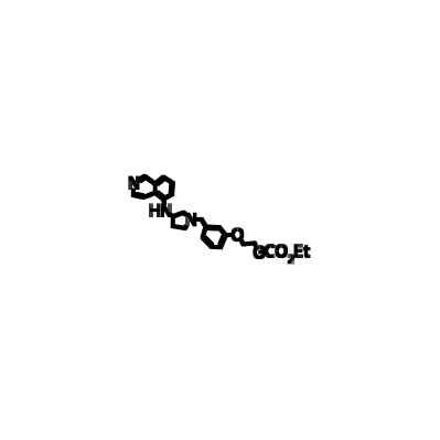 CCOC(=O)OCCOc1cccc(CN2CCC(Nc3cccc4cnccc34)C2)c1